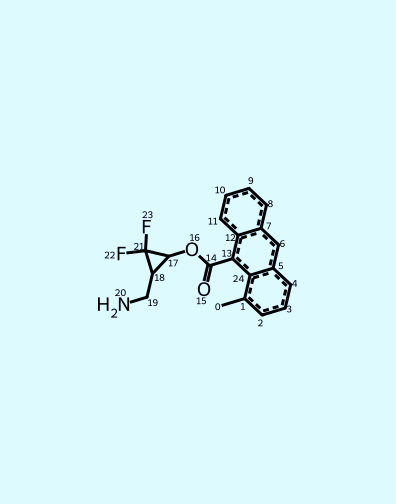 Cc1cccc2cc3ccccc3c(C(=O)OC3C(CN)C3(F)F)c12